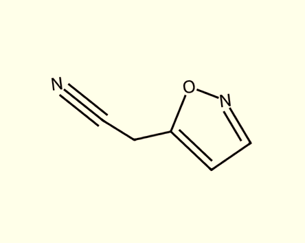 N#CCc1ccno1